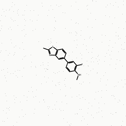 CNc1ccc(-c2ccc3sc(C)nc3c2)cc1F